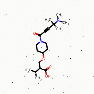 CC(C)C(COC1CCN(C(=O)C#CC(C)(C)N(C)C)CC1)C(=O)O